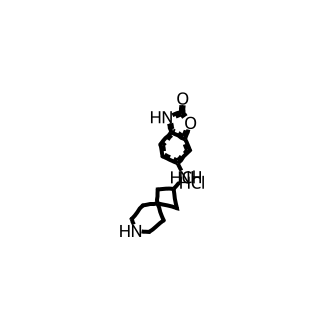 Cl.Cl.O=c1[nH]c2ccc(NC3CC4(CCNCC4)C3)cc2o1